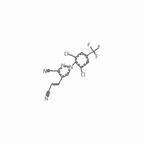 N#CC=Cc1cn(-c2c(Cl)cc(C(F)(F)F)cc2Cl)nc1C#N